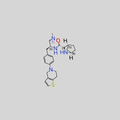 C/N=C/[C@H](Cc1ccc(N2CCc3sccc3C2)cc1)NC(=O)[C@H]1N[C@@H]2CC[C@H]1C2